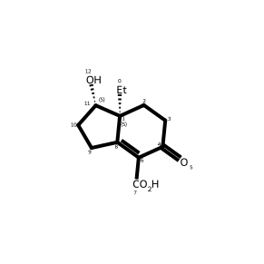 CC[C@]12CCC(=O)C(C(=O)O)=C1CC[C@@H]2O